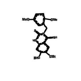 COc1ccc(OC)c(Cn2c(=S)[nH]c3cc(OC)c(OC)cc3c2=N)c1